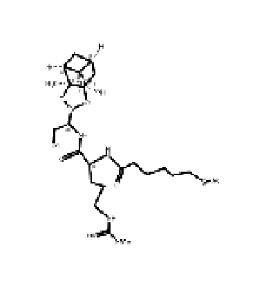 CNC(=N)NCCC[C@H](NC(=O)CCCCCSC(C)=O)C(=O)N[C@@H](CC(C)C)B1O[C@@H]2C[C@@H]3C[C@@H](C3(C)C)[C@]2(C)O1